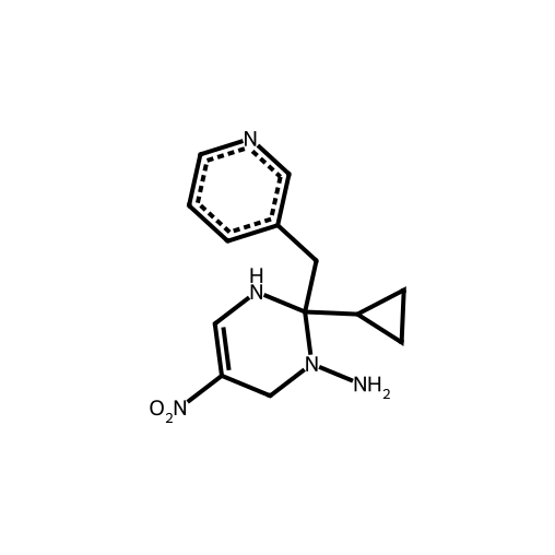 NN1CC([N+](=O)[O-])=CNC1(Cc1cccnc1)C1CC1